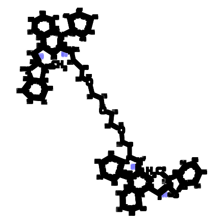 CN1/C(=C\c2c/c(=N/CCCOCCOCCOCCC/N=c3\cc(/C=C4/Sc5ccccc5N4C)c4ccccc4n3-c3ccccc3)n(-c3ccccc3)c3ccccc23)Sc2ccccc21